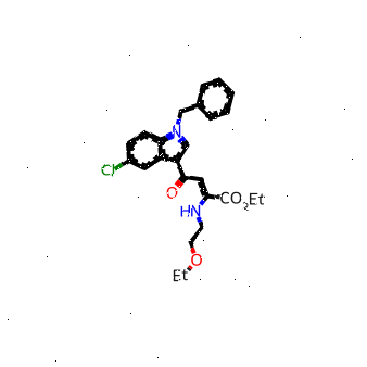 CCOCCNC(=CC(=O)c1cn(Cc2ccccc2)c2ccc(Cl)cc12)C(=O)OCC